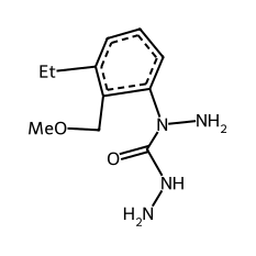 CCc1cccc(N(N)C(=O)NN)c1COC